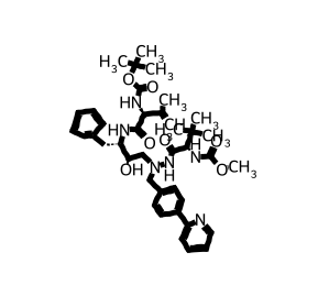 C=C(C)[C@H](NC(=O)OC(C)(C)C)C(=O)N[C@@H](Cc1ccccc1)[C@@H](O)CN(Cc1ccc(-c2ccccn2)cc1)NC(=O)[C@@H](NC(=O)OC)C(C)(C)C